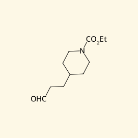 CCOC(=O)N1CCC(CCC=O)CC1